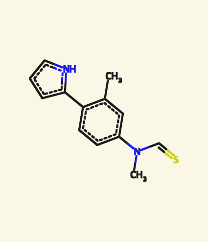 Cc1cc(N(C)C=S)ccc1-c1ccc[nH]1